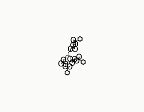 O=C(OCCC(CCOC(=O)OOC(=O)c1ccccc1)COC(=O)OOC(=O)c1ccccc1)OOC(=O)c1ccccc1